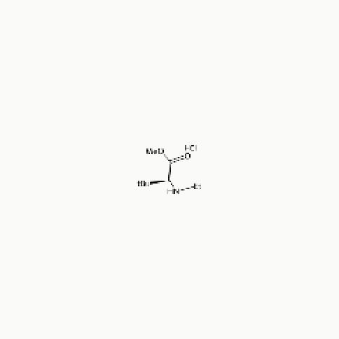 CCN[C@H](C(=O)OC)C(C)(C)C.Cl